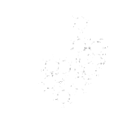 c1ccc(-c2ccc(N(c3cc4ccccc4c4c3-c3ccccc3C4(c3ccccc3)c3ccccc3)c3cccc4oc5ccccc5c34)cc2)cc1